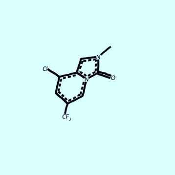 Cn1cc2c(Cl)cc(C(F)(F)F)cn2c1=O